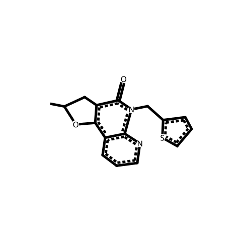 CC1Cc2c(c3cccnc3n(Cc3cccs3)c2=O)O1